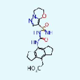 N=S(=O)(NC(=O)Nc1c2c(c(CC(=O)O)c3c1CCC3)CCC2)c1cnn2c1OCCC2